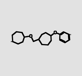 [c]1cccc(OC2CCCC(COC3CC[CH]CCC3)CC2)c1